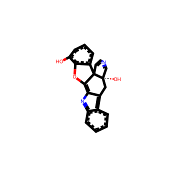 Oc1cccc2c1OC1=C3N=c4ccccc4=C3C[C@]3(O)C=NC=CC123